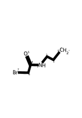 [CH2]CCNC(=O)CBr